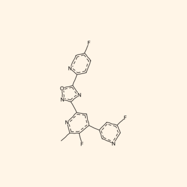 Cc1nc(-c2noc(-c3ccc(F)cn3)n2)cc(-c2cncc(F)c2)c1F